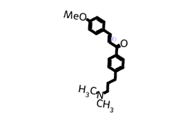 COc1ccc(/C=C/C(=O)c2ccc(CCCN(C)C)cc2)cc1